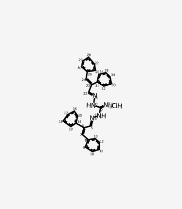 Cl.N=C(NN=CC(=Cc1ccccc1)c1ccccc1)NN=CC(=Cc1ccccc1)c1ccccc1